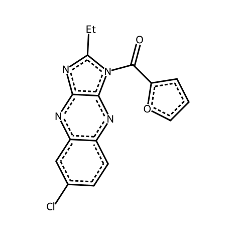 CCc1nc2nc3cc(Cl)ccc3nc2n1C(=O)c1ccco1